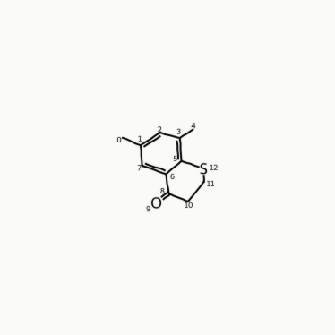 Cc1cc(C)c2c(c1)C(=O)CCS2